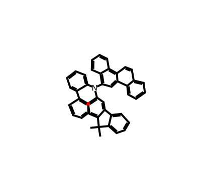 CC1(C)c2ccccc2-c2cc(N(c3ccccc3-c3ccccc3)c3cc4c5ccccc5ccc4c4ccccc34)ccc21